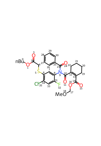 CCCCOC(=O)CSc1cc(N(C(=O)C2=C(C(=O)OCOC)CCCC2)C(=O)c2ccccc2)c(F)cc1Cl